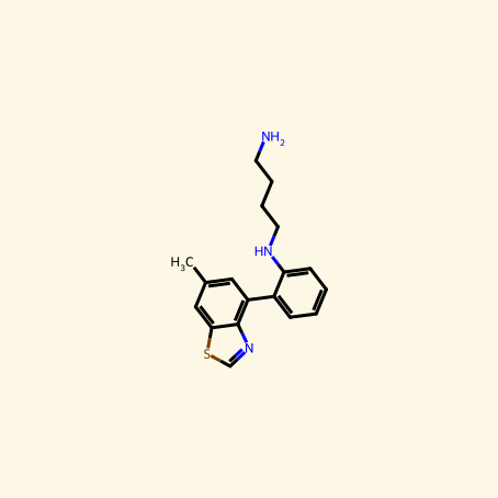 Cc1cc(-c2ccccc2NCCCCN)c2ncsc2c1